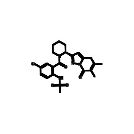 CC1=C(C)C(=O)n2nc([C@@H]3CCCCN3C(=O)c3cc(Cl)ccc3NS(C)(=O)=O)cc2C1